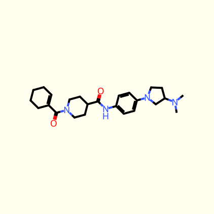 CN(C)C1CCN(c2ccc(NC(=O)C3CCN(C(=O)C4=CCCCC4)CC3)cc2)C1